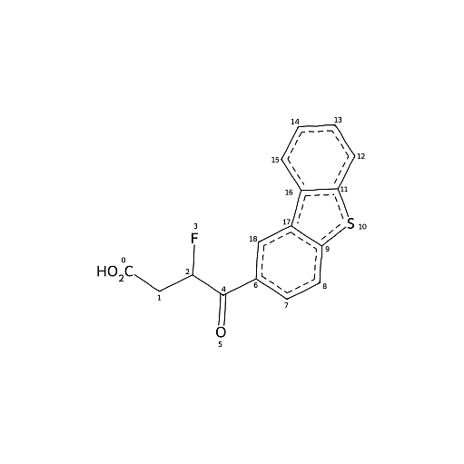 O=C(O)CC(F)C(=O)c1ccc2sc3ccccc3c2c1